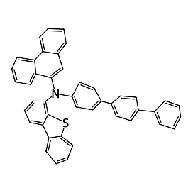 c1ccc(-c2ccc(-c3ccc(N(c4cc5ccccc5c5ccccc45)c4cccc5c4sc4ccccc45)cc3)cc2)cc1